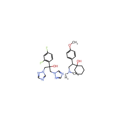 COc1ccc(C(CN(C)C)C2(O)CCCCC2)cc1.OC(Cn1cncn1)(Cn1cncn1)c1ccc(F)cc1F